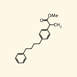 COC(=O)C(C)c1ccc(CCCCc2ccccc2)cc1